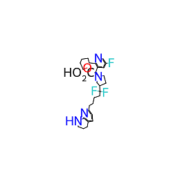 O=C(O)C(c1cc(F)cnc1C1CCCCO1)N1CCC(C(F)(F)CCCCc2ccc3c(n2)NCCC3)C1